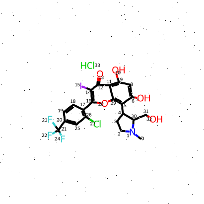 CN1CCC(c2c(O)cc(O)c3c(=O)c(I)c(-c4ccc(C(F)(F)F)cc4Cl)oc23)C1CO.Cl